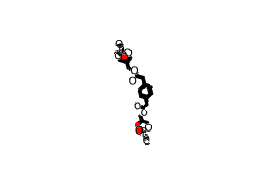 O=C(Cc1ccc(CC(=O)OCC23COP(=O)(OC2)OC3)cc1)OCC12COP(=O)(OC1)OC2